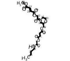 CCCCNC(=O)COC(=O)/C=C/C(=O)OCC1CN(C(=O)COC(=O)/C=C/C(=O)OC)CCO1